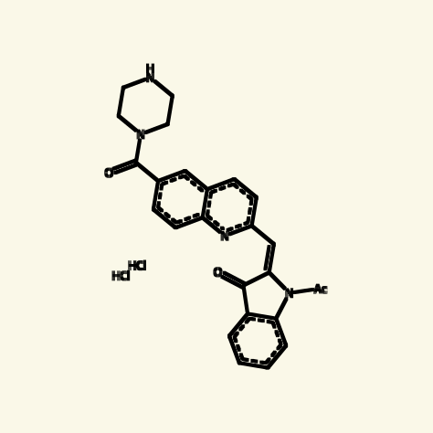 CC(=O)N1C(=Cc2ccc3cc(C(=O)N4CCNCC4)ccc3n2)C(=O)c2ccccc21.Cl.Cl